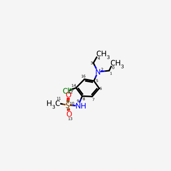 CCN(CC)c1ccc(NS(C)(=O)=O)c(Cl)c1